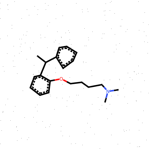 CC(c1ccccc1)c1ccccc1OCCCCN(C)C